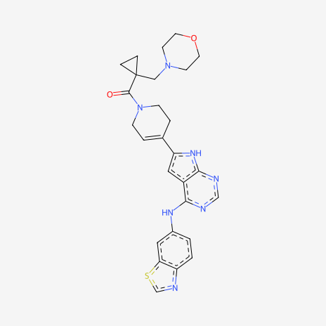 O=C(N1CC=C(c2cc3c(Nc4ccc5ncsc5c4)ncnc3[nH]2)CC1)C1(CN2CCOCC2)CC1